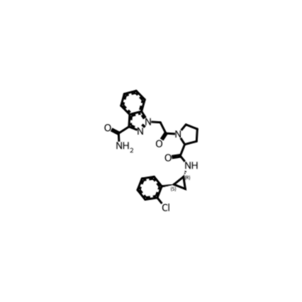 NC(=O)c1nn(CC(=O)N2CCCC2C(=O)N[C@@H]2C[C@H]2c2ccccc2Cl)c2ccccc12